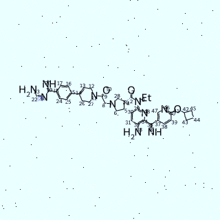 CCN(C(=O)[C@@H]1CCN(CC(=O)N2CC=C(c3ccc(C(=N)/N=C\N)cc3)CC2)C1)c1ccc(N)c(C(=N)c2ccc(OC3CCC3)nc2)n1